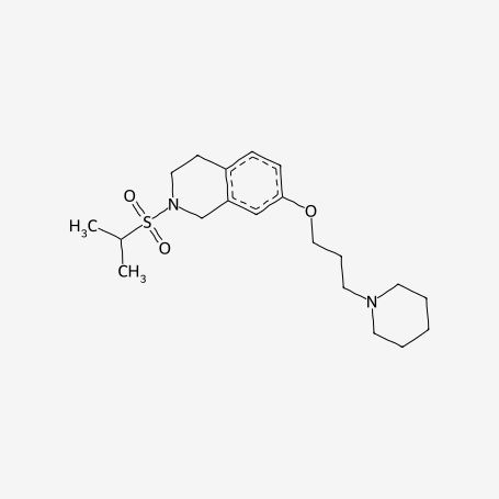 CC(C)S(=O)(=O)N1CCc2ccc(OCCCN3CCCCC3)cc2C1